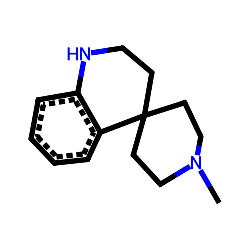 CN1CCC2(CCNc3ccccc32)CC1